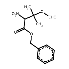 CC(C)(O[C]=O)C(C(=O)OCc1ccccc1)[N+](=O)[O-]